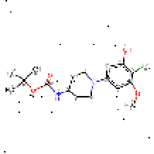 COc1cc(N2CCC(NC(=O)OC(C)(C)C)CC2)cc(O)c1Br